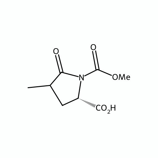 COC(=O)N1C(=O)C(C)C[C@H]1C(=O)O